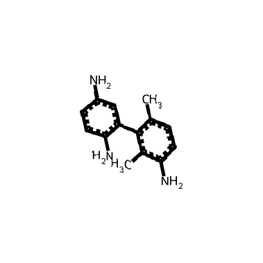 Cc1ccc(N)c(C)c1-c1cc(N)ccc1N